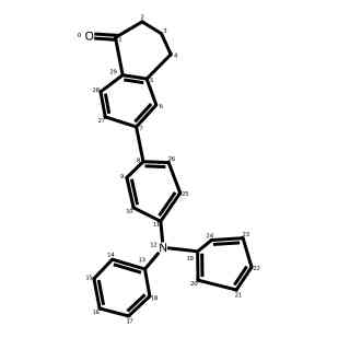 O=C1CCCc2cc(-c3ccc(N(c4ccccc4)c4ccccc4)cc3)ccc21